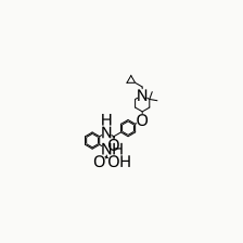 CC1(C)CC(Oc2ccc(C(=O)Nc3ccccc3NC(=O)O)cc2)CCN1CC1CC1